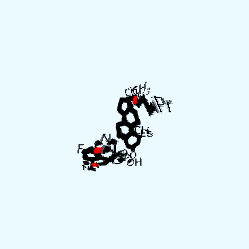 CCC1CC(OP(=O)(O)OC(Cn2cncn2)(Cn2cncn2)c2ccc(F)cc2F)CC2=CCC3C(CCC4(C)C3CCC4(C)C(C)CCCC(C)C)C21C